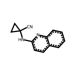 N#CC1(Nc2ccc3ccccc3n2)CC1